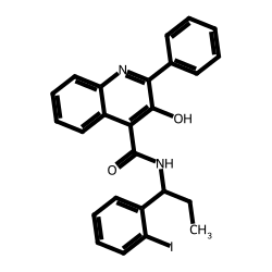 CCC(NC(=O)c1c(O)c(-c2ccccc2)nc2ccccc12)c1ccccc1I